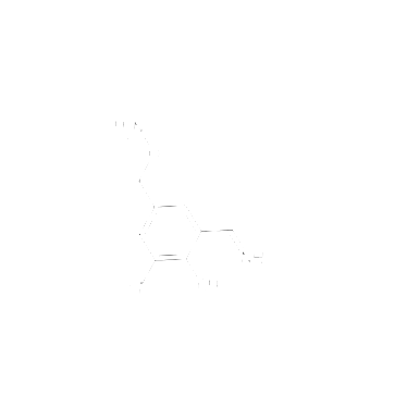 Cc1c(Cl)cc(CON)cc1C=N